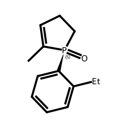 CCc1ccccc1[P@]1(=O)CCC=C1C